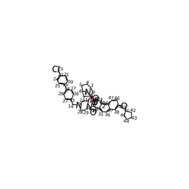 NC1CC2CCC(C1)N2C(=O)C1CN(Cc2ccc(-c3ccc(Cl)cc3)cc2)CCN1S(=O)(=O)c1ccc2cc(OC3CCCC3)ccc2c1